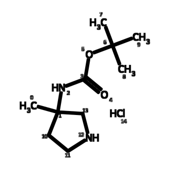 CC1(NC(=O)OC(C)(C)C)CCNC1.Cl